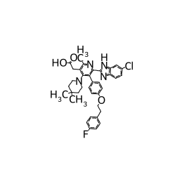 Cc1nc(-c2nc3ccc(Cl)cc3[nH]2)c(-c2ccc(OCCc3ccc(F)cc3)cc2)c(N2CCC(C)(C)CC2)c1CC(=O)O